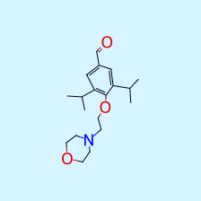 CC(C)c1cc(C=O)cc(C(C)C)c1OCCN1CCOCC1